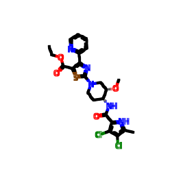 CCOC(=O)c1sc(N2CC[C@@H](NC(=O)c3[nH]c(C)c(Cl)c3Cl)[C@@H](OC)C2)nc1-c1ccccn1